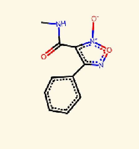 CNC(=O)c1c(-c2ccccc2)no[n+]1[O-]